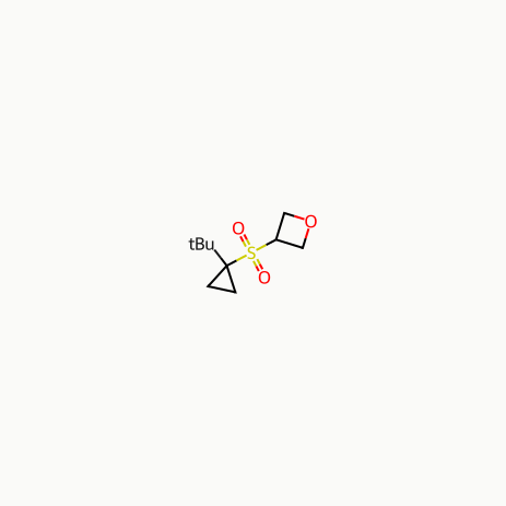 CC(C)(C)C1(S(=O)(=O)C2COC2)CC1